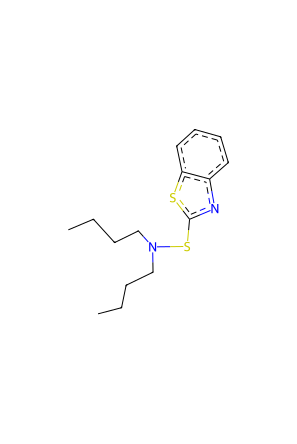 CCCCN(CCCC)Sc1nc2ccccc2s1